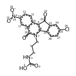 O=C(O)NCCCn1c2c(c3ccc([N+](=O)[O-])cc3c1=O)C(=O)c1cc(Cl)ccc1-2